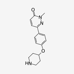 Cn1nc(-c2ccc(OC3CCNCC3)cc2)ccc1=O